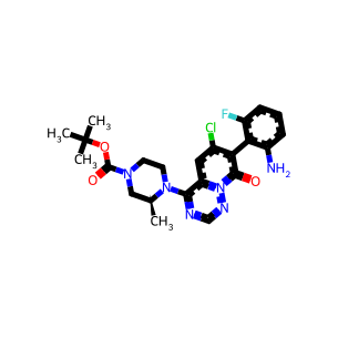 C[C@H]1CN(C(=O)OC(C)(C)C)CCN1c1ncnn2c(=O)c(-c3c(N)cccc3F)c(Cl)cc12